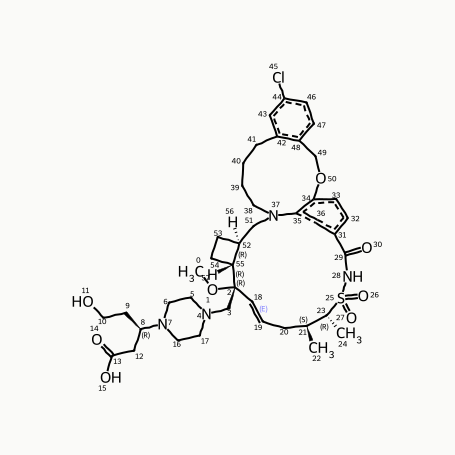 CO[C@@]1(CN2CCN([C@H](CCO)CC(=O)O)CC2)/C=C/C[C@H](C)[C@@H](C)S(=O)(=O)NC(=O)c2ccc3c(c2)N(CCCCc2cc(Cl)ccc2CO3)C[C@@H]2CC[C@H]21